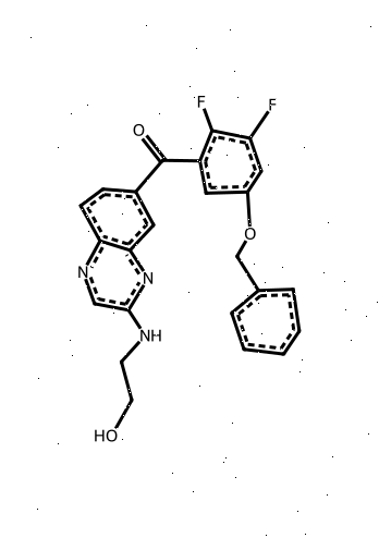 O=C(c1ccc2ncc(NCCO)nc2c1)c1cc(OCc2ccccc2)cc(F)c1F